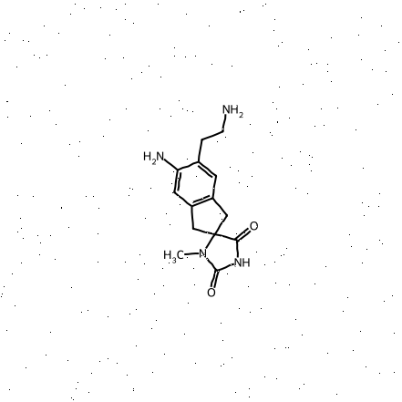 CN1C(=O)NC(=O)C12Cc1cc(N)c(CCN)cc1C2